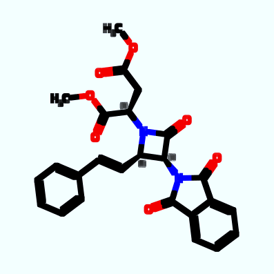 COC(=O)C[C@H](C(=O)OC)N1C(=O)[C@@H](N2C(=O)c3ccccc3C2=O)[C@H]1C=Cc1ccccc1